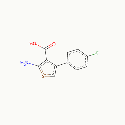 Nc1scc(-c2ccc(F)cc2)c1C(=O)O